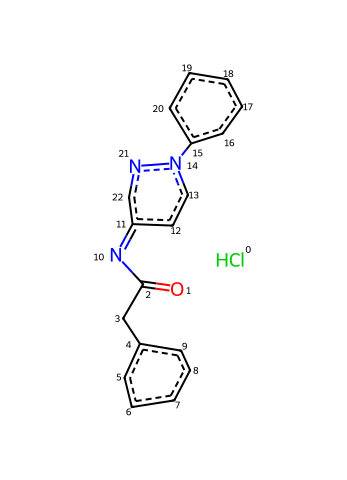 Cl.O=C(Cc1ccccc1)N=c1ccn(-c2ccccc2)nc1